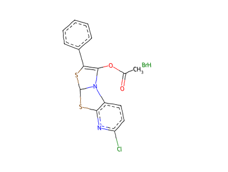 Br.CC(=O)OC1=C(c2ccccc2)SC2Sc3nc(Cl)ccc3N12